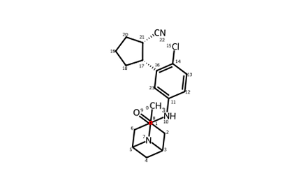 CC1CC2CC(C1)N2C(=O)Nc1ccc(Cl)c([C@@H]2CCC[C@@H]2C#N)c1